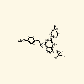 COc1ccc(CNc2nc(N3CCNCC3)nc3c([C@@H]4CC4(F)F)cnn23)cc1